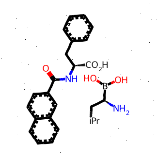 CC(C)C[C@H](N)B(O)O.O=C(N[C@@H](Cc1ccccc1)C(=O)O)c1ccc2ccccc2c1